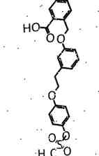 CS(=O)(=O)Oc1ccc(OCCc2cccc(OCc3ccccc3C(=O)O)c2)cc1